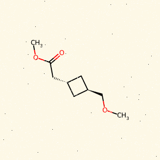 COC[C@H]1C[C@H](CC(=O)OC)C1